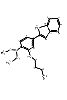 CON(OC)c1ccc(-c2cc3nccnc3[nH]2)cc1OCCCO